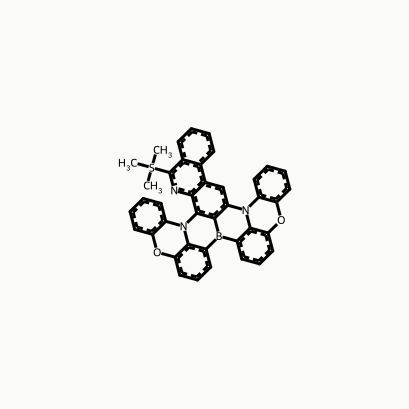 CS(C)(C)c1nc2c3c4c(cc2c2ccccc12)N1c2ccccc2Oc2cccc(c21)B4c1cccc2c1N3c1ccccc1O2